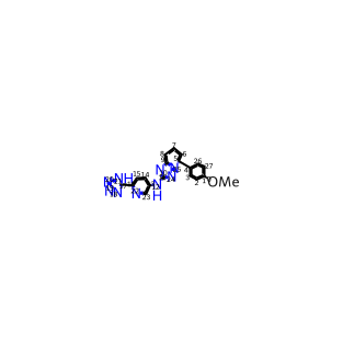 COc1ccc(-c2cccc3nc(Nc4ccc(-c5nnn[nH]5)nc4)nn23)cc1